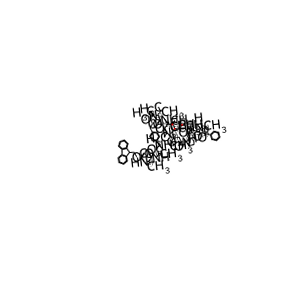 CC[C@H](C)[C@@H]([C@@H](CC(=O)N1CCC[C@H]1[C@H](OC)[C@@H](C)C(=O)N[C@H](C)[C@@H](O)c1ccccc1)OC)N(C)C(=O)[C@@H](NC(=O)[C@H](C(C)C)N(C)C(=O)OCc1ccc(NC(=O)[C@H](C)NC(=O)[C@H](C)NC(=O)OCC2c3ccccc3-c3ccccc32)cc1)C(C)C